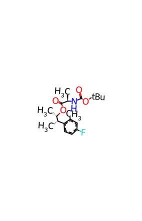 Cc1cc(F)ccc1[C@H](C)[C@H](C)OC(=O)[C@@H](C)NC(=O)OC(C)(C)C